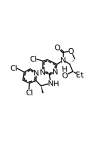 CC[C@@H](O)[C@H]1COC(=O)N1c1cc(Cl)nc(N[C@@H](C)c2ncc(Cl)cc2Cl)n1